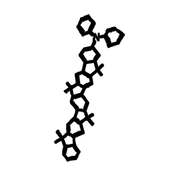 CC1(C)c2ccccc2-c2cc3c(cc21)-c1cc2c(cc1C3(C)C)-c1cc3c(cc1C2(C)C)-c1ccc(N(c2ccccc2)c2ccccc2)cc1C3(C)C